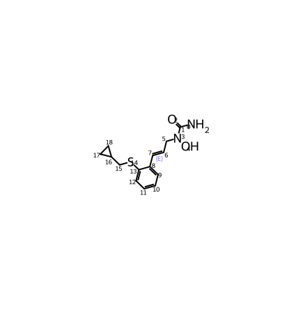 NC(=O)N(O)C/C=C/c1ccccc1SCC1CC1